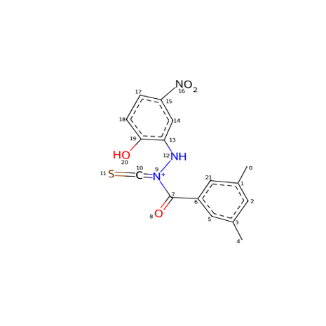 Cc1cc(C)cc(C(=O)[N+](=C=S)Nc2cc([N+](=O)[O-])ccc2O)c1